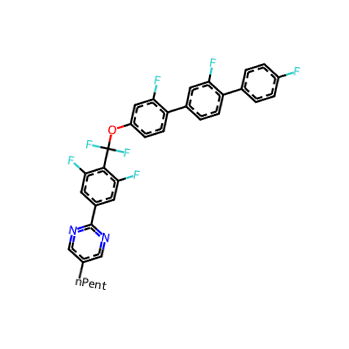 CCCCCc1cnc(-c2cc(F)c(C(F)(F)Oc3ccc(-c4ccc(-c5ccc(F)cc5)c(F)c4)c(F)c3)c(F)c2)nc1